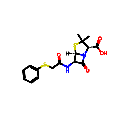 CC1(C)S[C@@H]2[C@H](NC(=O)CSc3ccccc3)C(=O)N2[C@H]1C(=O)O